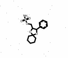 NS(=O)(=O)OCC1OC2(CCCCC2)OC1c1ccccc1